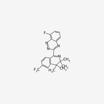 CC1(C)N=C(c2nnc3c(F)cccc3n2)c2ccc(C(F)(F)F)cc2C1(C)C